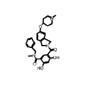 CN1CCC(Oc2ccc3c(c2)CN(C(=O)c2cc(C(=O)N(C)Cc4ccccc4)c(O)cc2O)C3)CC1